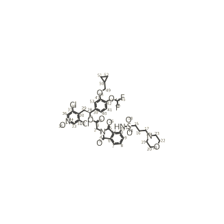 O=C(CN1C(=O)c2cccc(NS(=O)(=O)CCCN3CCOCC3)c2C1=O)O[C@@H](Cc1c(Cl)c[n+]([O-])cc1Cl)c1ccc(OC(F)F)c(OCC2CC2)c1